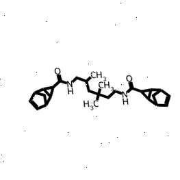 CC(CNC(=O)C1C2C3C=CC(C3)C12)CC(C)(C)CCNC(=O)C1C2C3C=CC(C3)C12